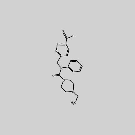 CCN1CCN(C(=O)N(Cc2ccc(C(=O)O)cn2)c2ccccc2)CC1